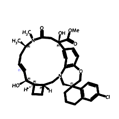 COC(=O)[C@@]1(O)CC(=O)N(C)[C@H](C)C/C=C/[C@H](O)[C@@H]2CC[C@H]2CN2C[C@@]3(CCCc4cc(Cl)ccc43)COc3ccc1cc32